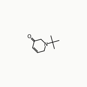 CC(C)(C)N1CC=CC(=O)C1